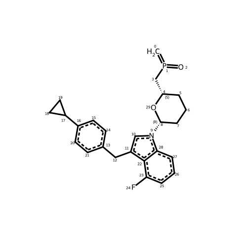 C=P(=O)C[C@@H]1CCC[C@H](n2cc(Cc3ccc(C4CC4)cc3)c3c(F)cccc32)O1